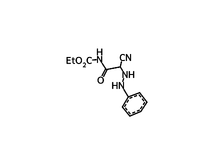 CCOC(=O)NC(=O)C(C#N)NNc1ccccc1